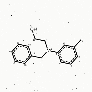 Cc1cccc(N(CCO)Cc2ccccc2)c1